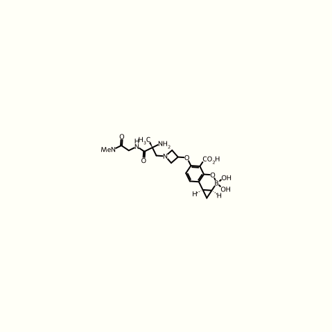 CNC(=O)CNC(=O)[C@](C)(N)CN1CC(Oc2ccc3c(c2C(=O)O)O[B-](O)(O)[C@H]2C[C@@H]32)C1